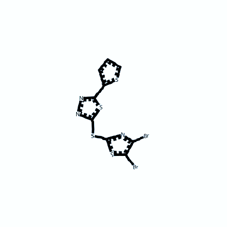 Brc1nc(Sc2nnc(-c3cccs3)s2)sc1Br